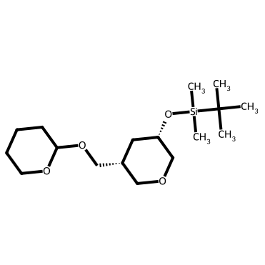 CC(C)(C)[Si](C)(C)O[C@@H]1COC[C@H](COC2CCCCO2)C1